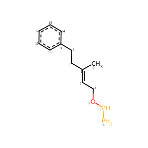 C/C(=C\COPP)CCc1ccccc1